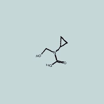 O=C(O)N(CO)C1CC1